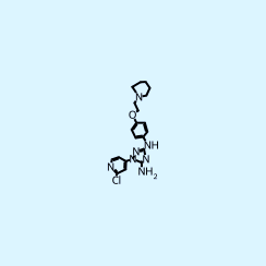 Nc1nc(Nc2ccc(OCCN3CCCCC3)cc2)nn1-c1ccnc(Cl)c1